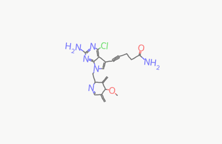 C=C1C=NC(Cn2cc(C#CCCC(N)=O)c3c(Cl)nc(N)nc32)C(=C)C1OC